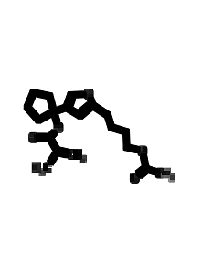 C=C(C)C(=O)OC1(c2coc(CCCCOC(C)=O)c2)CCCC1